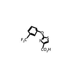 O=C(O)c1csc(Oc2cccc(C(F)(F)F)c2)n1